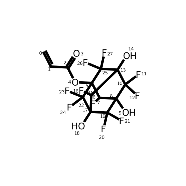 C=CC(=O)OC12C(F)C3(O)C(F)(F)C(O)(C(F)C(O)(C3(F)F)C1(F)F)C2(F)F